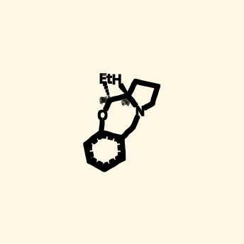 CC[C@H]1Oc2ccccc2CN2CCC[C@@H]12